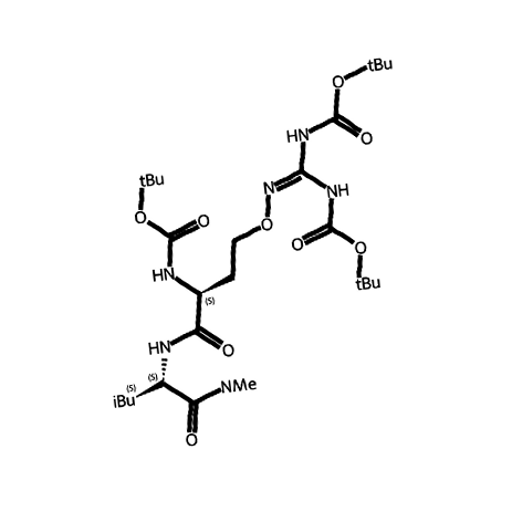 CC[C@H](C)[C@H](NC(=O)[C@H](CCON=C(NC(=O)OC(C)(C)C)NC(=O)OC(C)(C)C)NC(=O)OC(C)(C)C)C(=O)NC